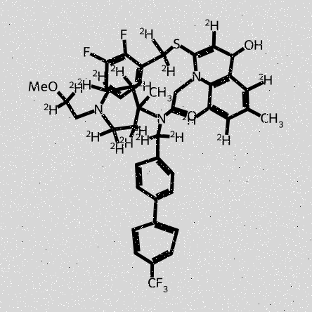 [2H]C1=C(SC([2H])([2H])c2cccc(F)c2F)N(CC(=O)N(C([2H])([2H])c2ccc(-c3ccc(C(F)(F)F)cc3)cc2)C2(C)C([2H])([2H])C([2H])([2H])N(CC([2H])([2H])OC)C([2H])([2H])C2([2H])[2H])c2c([2H])c([2H])c(C)c([2H])c2C1O